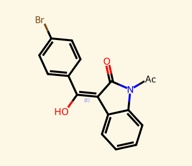 CC(=O)N1C(=O)/C(=C(/O)c2ccc(Br)cc2)c2ccccc21